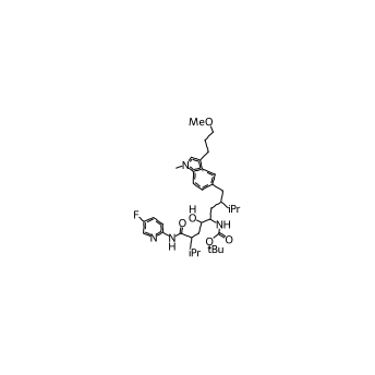 COCCCc1cn(C)c2ccc(CC(CC(NC(=O)OC(C)(C)C)C(O)CC(C(=O)Nc3ccc(F)cn3)C(C)C)C(C)C)cc12